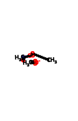 CCCCCCCCCCCCCCCCCC1OCC(COCCCCCC[N+]2(C)CCOCC2)O1.Cc1ccc(S(=O)(=O)[O-])cc1